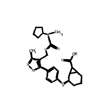 Cc1noc(-c2ccc(OC3CCCC4C(C(=O)O)C34)cc2)c1COC(=O)N(C)C1CCCC1